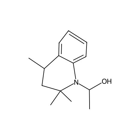 CC1CC(C)(C)N(C(C)O)c2ccccc21